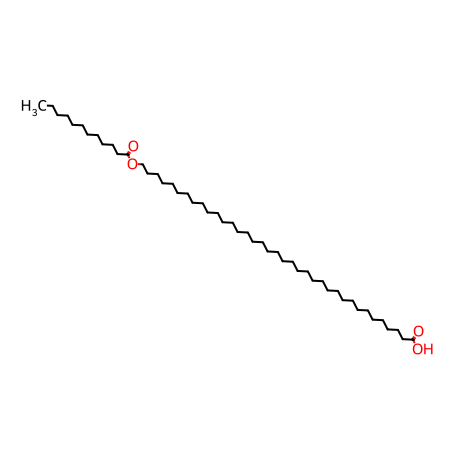 CCCCCCCCCCCC(=O)OCCCCCCCCCCCCCCCCCCCCCCCCCCCCCCCCCCCCC(=O)O